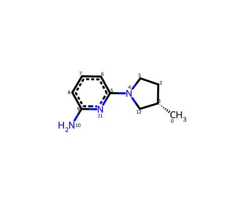 C[C@H]1CCN(c2cccc(N)n2)C1